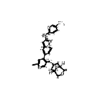 Cc1cc(-c2ccn3nc(Nc4ccc(C(F)(F)F)cn4)cc3c2)c(OC2C[C@H]3COC[C@@H](C2)N3)cn1